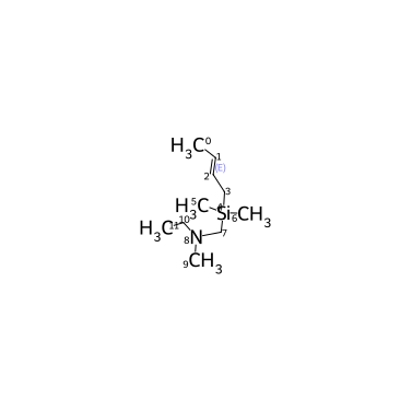 C/C=C/C[Si](C)(C)CN(C)CC